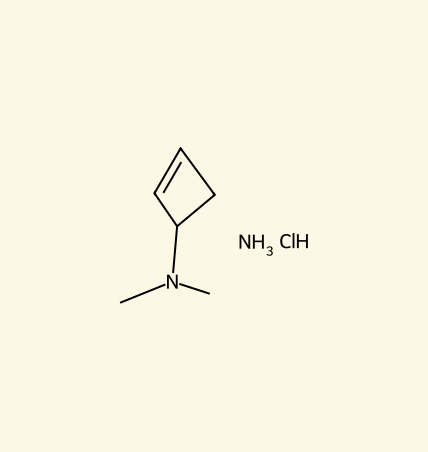 CN(C)C1C=CC1.Cl.N